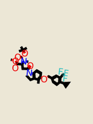 COC(=O)C(CC(=O)N1CCc2c1ccc(OCc1ccc(C3CC3)c(C(F)(F)F)c1)c2C)N(C)C(=O)OC(C)(C)C